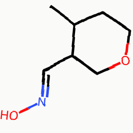 CC1CCOCC1C=NO